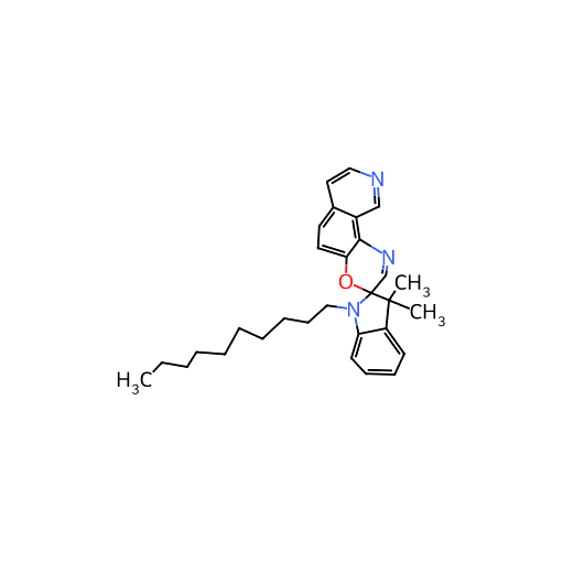 CCCCCCCCCCN1c2ccccc2C(C)(C)C12C=Nc1c(ccc3ccncc13)O2